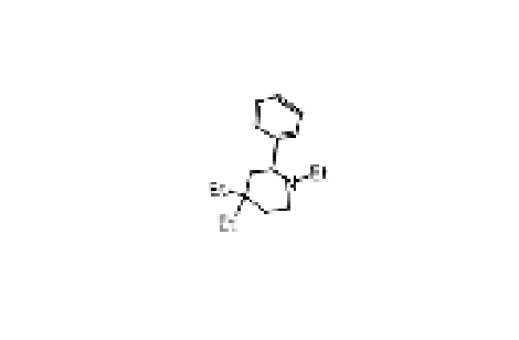 CCN1CCC(CC)(CC)CC1c1ccccc1